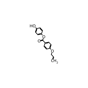 C=CCOc1ccc(C(=O)Oc2ccc(O)cc2)cc1